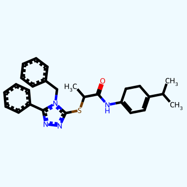 CC(C)C1=CC=C(NC(=O)C(C)Sc2nnc(-c3ccccc3)n2Cc2ccccc2)CC1